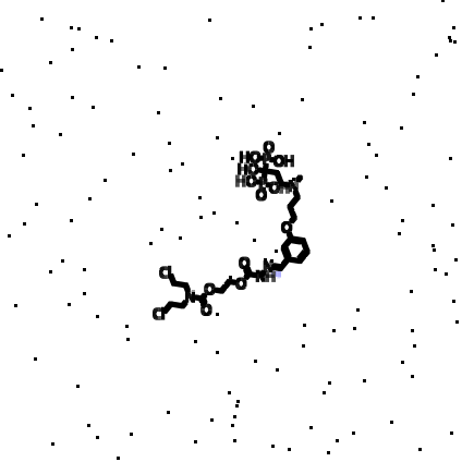 CN(CCCOc1cccc(/C=N/NC(=O)OCCOC(=O)N(CCCl)CCCl)c1)CCC(O)(P(=O)(O)O)P(=O)(O)O